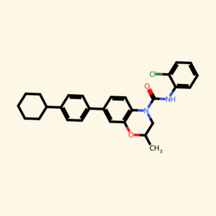 CC1CN(C(=O)Nc2ccccc2Cl)c2ccc(-c3ccc(C4CCCCC4)cc3)cc2O1